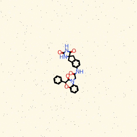 O=C(CN1C(=O)C(c2ccccc2)Oc2ccccc21)Nc1ccc2c(c1)CC1(C2)NC(=O)NC1=O